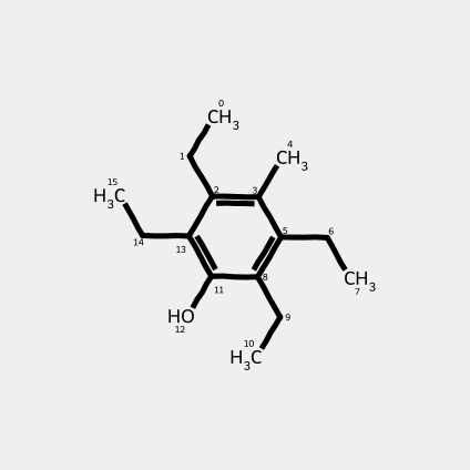 CCc1c(C)c(CC)c(CC)c(O)c1CC